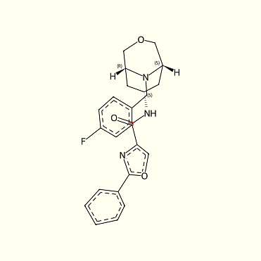 O=C(N[C@H]1C[C@H]2COC[C@@H](C1)N2Cc1ccc(F)cc1)c1coc(-c2ccccc2)n1